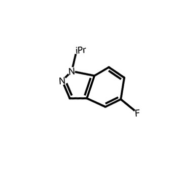 CC(C)n1ncc2cc(F)ccc21